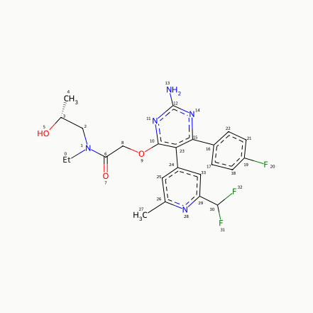 CCN(C[C@@H](C)O)C(=O)COc1nc(N)nc(-c2ccc(F)cc2)c1-c1cc(C)nc(C(F)F)c1